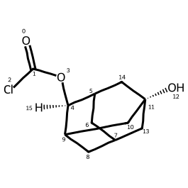 O=C(Cl)O[C@H]1C2CC3CC1C[C@](O)(C3)C2